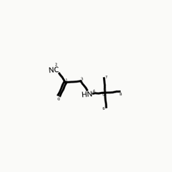 C=C(C#N)CNC(C)(C)C